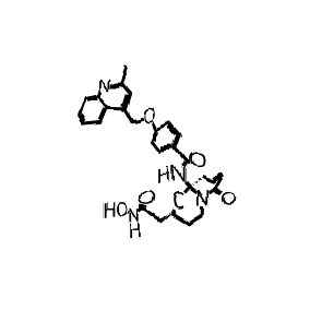 C=CC[C@@]1(NC(=O)c2ccc(OCc3cc(C)nc4ccccc34)cc2)C[C@H](CC(=O)NO)CCN1C(C)=O